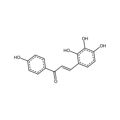 O=C(C=Cc1ccc(O)c(O)c1O)c1ccc(O)cc1